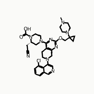 CN1CCN(C2(COc3nc4c(c(N5CCN(C(=O)O)[C@@H](CC#N)C5)n3)CCN(c3cncc5cccc(Cl)c35)C4)CC2)CC1